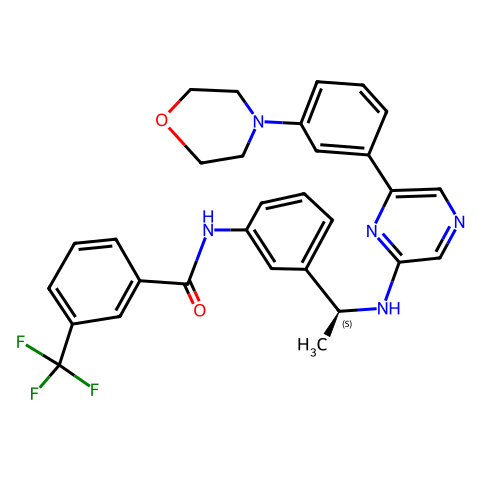 C[C@H](Nc1cncc(-c2cccc(N3CCOCC3)c2)n1)c1cccc(NC(=O)c2cccc(C(F)(F)F)c2)c1